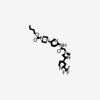 CCCCOC(=O)N1CCN(c2ccc(NC(=O)Cn3cnc(-c4ccnc(C(F)(F)F)c4)c3)nc2)CC1